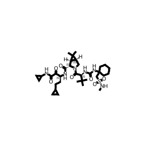 CNS(=O)(=O)CC1(NC(=O)N[C@H](C(=O)N2C[C@H]3[C@@H]([C@H]2C(=O)N[C@@H](CCC2CC2)C(=O)C(=O)NC2CC2)C3(C)C)C(C)(C)C)CCCCC1